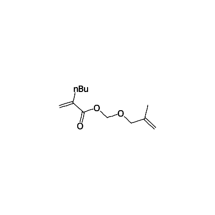 C=C(C)COCOC(=O)C(=C)CCCC